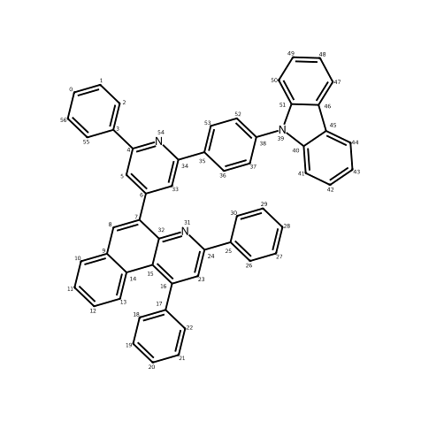 c1ccc(-c2cc(-c3cc4ccccc4c4c(-c5ccccc5)cc(-c5ccccc5)nc34)cc(-c3ccc(-n4c5ccccc5c5ccccc54)cc3)n2)cc1